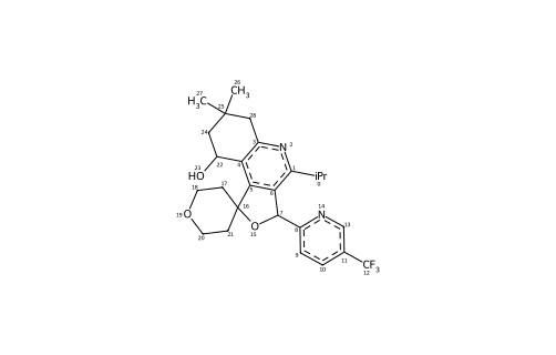 CC(C)c1nc2c(c3c1C(c1ccc(C(F)(F)F)cn1)OC31CCOCC1)C(O)CC(C)(C)C2